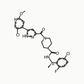 COc1cc(-c2cc(C(=O)N3CCC(C(=O)N[C@H](C)c4cc(Cl)ccc4F)CC3)n[nH]2)c(Cl)cn1